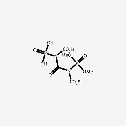 CCOC(=O)N(C(=O)N(C(=O)OCC)P(=O)(OC)OC)P(=O)(O)O